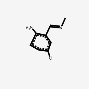 C/N=C/c1cc(Cl)ccc1N